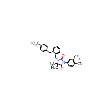 CC1(C)C(=O)N(c2ccc(C#N)c(C(F)(F)F)c2)C(=O)N1Cc1ccccc1Cc1ccc(C(=O)O)cc1